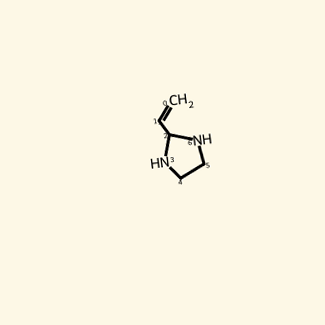 C=[C]C1NCCN1